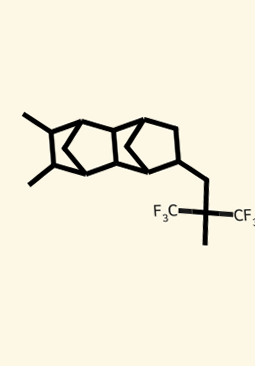 CC1C(C)C2CC1C1C3CC(CC(C)(C(F)(F)F)C(F)(F)F)C(C3)C21